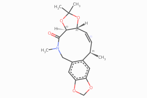 C[C@@H]1/C=C\[C@H]2OC(C)(C)O[C@@H]2C(=O)N(C)Cc2cc3c(cc21)OCO3